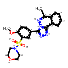 COc1ccc(-c2nnc3c4ccccc4c(C)nn23)cc1S(=O)(=O)N1CCOCC1